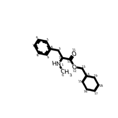 CNC(Cc1ccccc1)C(=O)OCC1CCCCC1